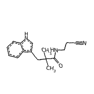 CC(C)(Cc1c[nH]c2ccccc12)C(=O)NCCC#N